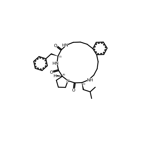 CC(C)C[C@@H]1NCCCc2ccccc2CCCNC(=O)[C@H](Cc2ccccc2)NC(=O)[C@H]2CCCN2C1=O